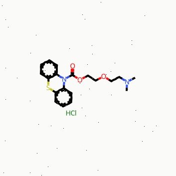 CN(C)CCOCCOC(=O)N1c2ccccc2Sc2ccccc21.Cl